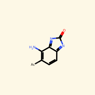 CC(=O)c1ccc2c(c1N)=NC(=O)N=2